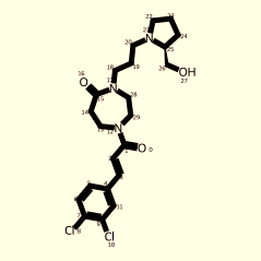 O=C(/C=C/c1ccc(Cl)c(Cl)c1)N1CCC(=O)N(CCCN2CCC[C@H]2CO)CC1